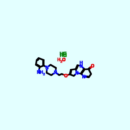 Cl.Cl.Nc1ccccc1N1CCN(CCOC2=CC3=CNC4=C(N=CCC4=O)N3C2)CC1.O